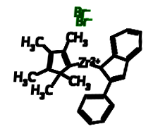 CC1=C(C)C(C)(C)[C]([Zr+2][CH]2C(c3ccccc3)=Cc3ccccc32)=C1C.[Br-].[Br-]